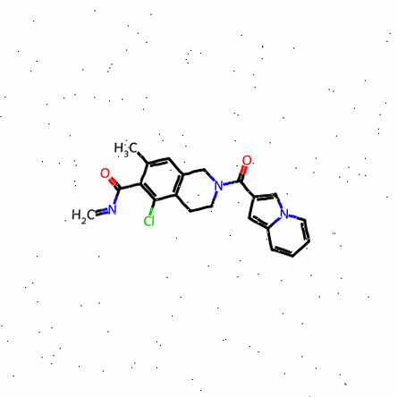 C=NC(=O)c1c(C)cc2c(c1Cl)CCN(C(=O)c1cc3ccccn3c1)C2